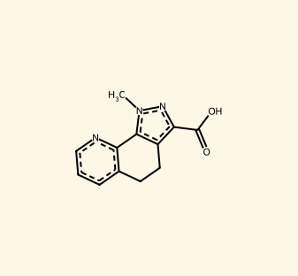 Cn1nc(C(=O)O)c2c1-c1ncccc1CC2